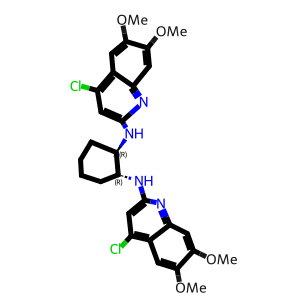 COc1cc2nc(N[C@@H]3CCCC[C@H]3Nc3cc(Cl)c4cc(OC)c(OC)cc4n3)cc(Cl)c2cc1OC